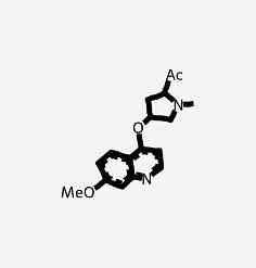 COc1ccc2c(OC3CC(C(C)=O)N(C)C3)ccnc2c1